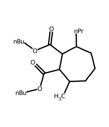 CCCCOC(=O)C1C(C)CCCC(CCC)C1C(=O)OCCCC